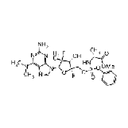 COC(=O)[C@@H](C)N[P@](=O)(OC[C@@]1(F)O[C@@H](n2cnc3c(N(C)C)nc(N)nc32)[C@](C)(F)[C@@H]1O)Oc1ccccc1